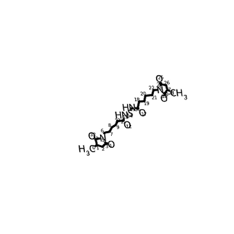 CC1CC(=O)N(CCCCCC(=O)NSNC(=O)CCCCCN2C(=O)CC(C)C2=O)C1=O